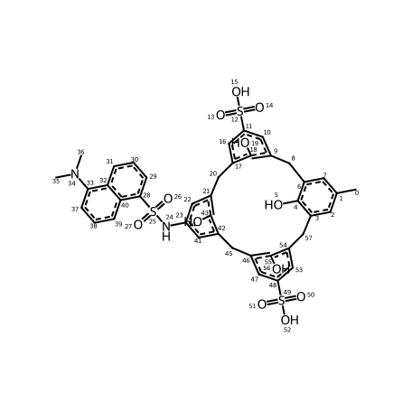 Cc1cc2c(O)c(c1)Cc1cc(S(=O)(=O)O)cc(c1O)Cc1cc(NS(=O)(=O)c3cccc4c(N(C)C)cccc34)cc(c1O)Cc1cc(S(=O)(=O)O)cc(c1O)C2